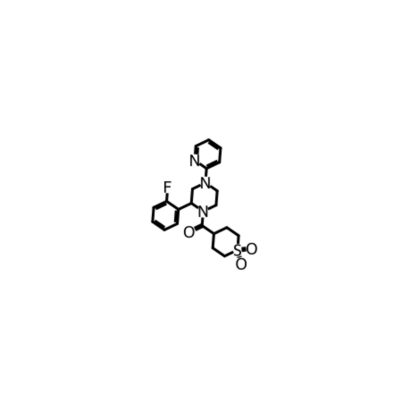 O=C(C1CCS(=O)(=O)CC1)N1CCN(c2ccccn2)CC1c1ccccc1F